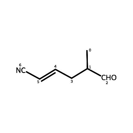 CC(C=O)CC=CC#N